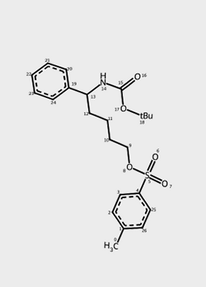 Cc1ccc(S(=O)(=O)OCCCCC(NC(=O)OC(C)(C)C)c2ccccc2)cc1